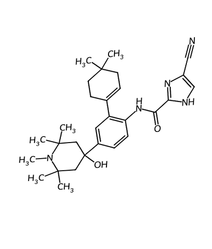 CN1C(C)(C)CC(O)(c2ccc(NC(=O)c3nc(C#N)c[nH]3)c(C3=CCC(C)(C)CC3)c2)CC1(C)C